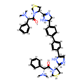 CN(C)[C@@H](C(=O)N1CSC[C@H]1C1=NCC(c2ccc(-c3ccc(-c4cnc([C@@H]5CSCN5C(=O)[C@@H](c5ccccc5)N(C)C)[nH]4)cc3)cc2)N1)c1ccccc1